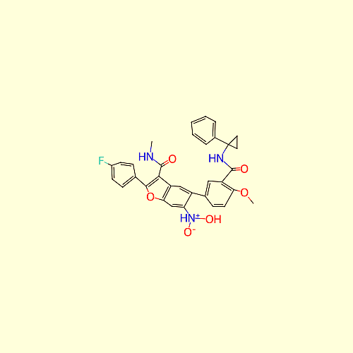 CNC(=O)c1c(-c2ccc(F)cc2)oc2cc([NH+]([O-])O)c(-c3ccc(OC)c(C(=O)NC4(c5ccccc5)CC4)c3)cc12